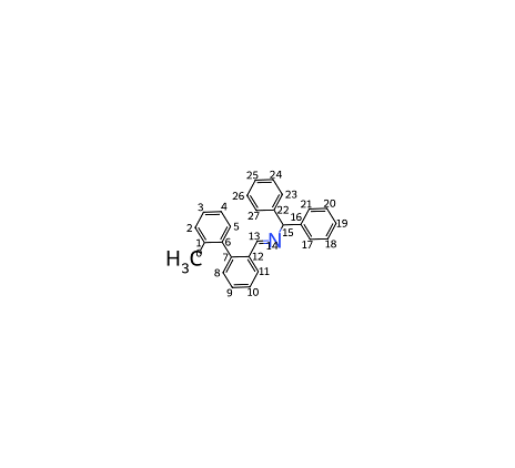 Cc1ccccc1-c1ccccc1C=NC(c1ccccc1)c1ccccc1